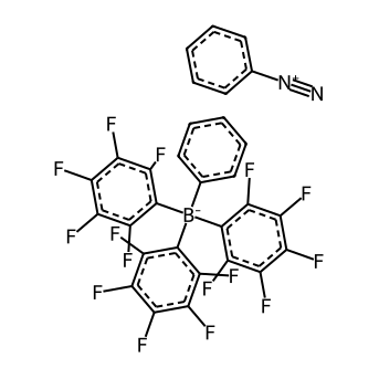 Fc1c(F)c(F)c([B-](c2ccccc2)(c2c(F)c(F)c(F)c(F)c2F)c2c(F)c(F)c(F)c(F)c2F)c(F)c1F.N#[N+]c1ccccc1